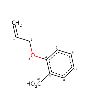 C=CCOc1cc[c]cc1C(=O)O